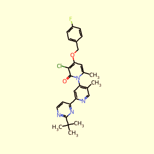 Cc1cnc(-c2ccnc(C(C)(C)C)n2)cc1-n1c(C)cc(OCc2ccc(F)cc2)c(Cl)c1=O